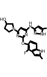 Cc1cc(Nc2cc(N3CCC(O)C3)nc(Oc3ccc4[nH]c(C)cc4c3F)n2)n[nH]1